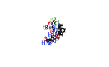 CC(C)(C)[C@H](NC(=O)C(F)(F)Cl)C(=O)N1C[C@@H]2[C@@H]3CC[C@@H](C3)[C@@H]2[C@H]1C(=O)N[C@@H](C[C@@H]1CCNC1=O)C(N)=O